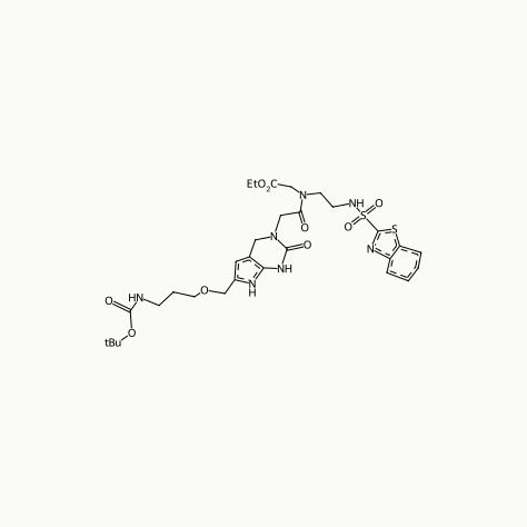 CCOC(=O)CN(CCNS(=O)(=O)c1nc2ccccc2s1)C(=O)CN1Cc2cc(COCCCNC(=O)OC(C)(C)C)[nH]c2NC1=O